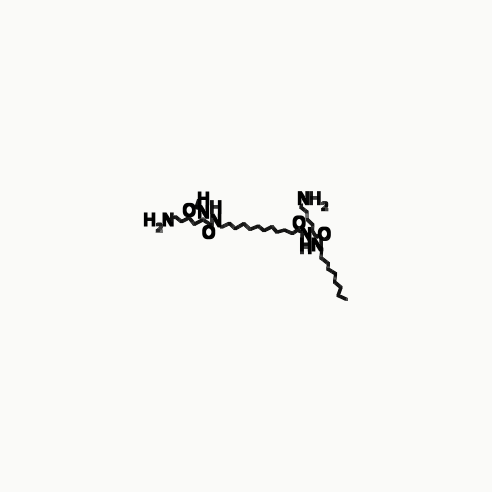 CCCCCCCCCNC(=O)C(CCCCN)NC(=O)CCCCCCCCCCCNC(=O)C(CCCCN)NC(C)=O